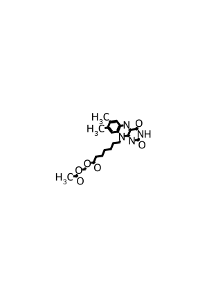 CC(=O)OCOC(=O)CCCCCCn1c2nc(=O)[nH]c(=O)c-2nc2cc(C)c(C)cc21